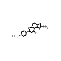 Nc1nc2ccc3oc(-c4ccc(C(=O)O)cc4)cc(=O)c3c2s1